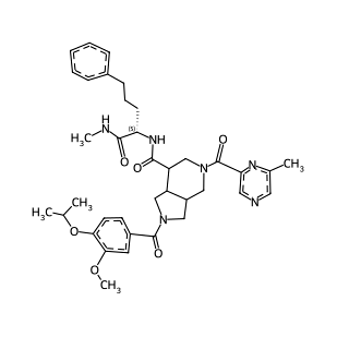 CNC(=O)[C@H](CCCc1ccccc1)NC(=O)C1CN(C(=O)c2cncc(C)n2)CC2CN(C(=O)c3ccc(OC(C)C)c(OC)c3)CC21